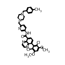 COc1cc(OC)c(Cl)c(-c2ccc(C(=O)Nc3ccc(CN4CCN(Cc5ccc(C)cc5)CC4)nc3)c3nccnc23)c1Cl